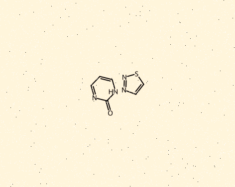 O=c1nccc[nH]1.c1csnn1